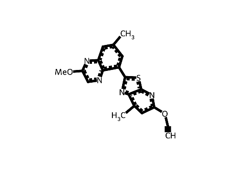 C#COc1cc(C)c2nc(-c3cc(C)cc4nc(OC)cnc34)sc2n1